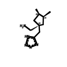 C[C@@H]1C[C@](CN)(Cc2nnn[nH]2)C[C@@H]1C